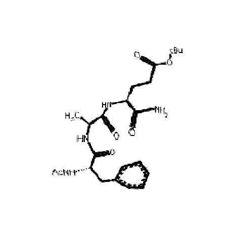 CC(=O)N[C@@H](Cc1ccccc1)C(=O)N[C@@H](C)C(=O)N[C@@H](CCC(=O)OC(C)(C)C)C(N)=O